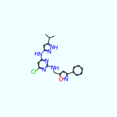 CC(C)c1cc(Nc2cc(Cl)nc(NCc3cc(-c4ccccc4)no3)n2)n[nH]1